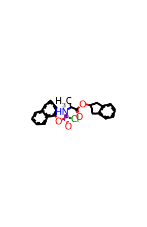 C[C@H](NP(=O)(Cl)Oc1cccc2ccccc12)C(=O)OC1Cc2ccccc2C1